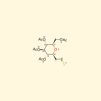 CC(=O)OC[C@H]1O[C@@H](C[C]=S)[C@H](OC(C)=O)[C@@H](OC(C)=O)[C@@H]1OC(C)=O